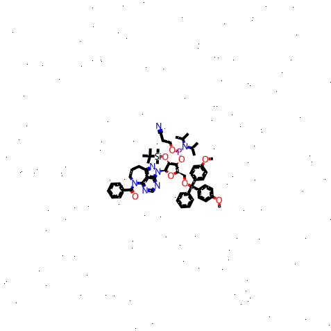 COc1ccc(C(OC[C@H]2O[C@@H](n3nc4c5c(ncnc53)N(C(=O)c3ccccc3)CCC4)[C@H](O[Si](C)(C)C(C)(C)C)[C@@H]2OP(OCCC#N)N(C(C)C)C(C)C)(c2ccccc2)c2ccc(OC)cc2)cc1